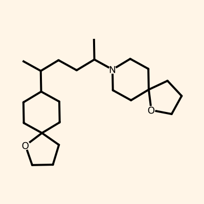 CC(CCC(C)N1CCC2(CCCO2)CC1)C1CCC2(CCCO2)CC1